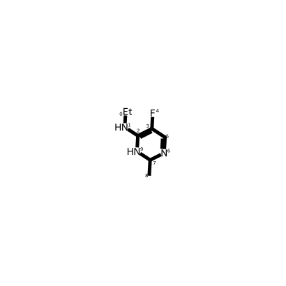 CCNC1=C(F)C=NC(C)N1